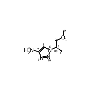 COC[C@@H](C)n1cc(N)nn1